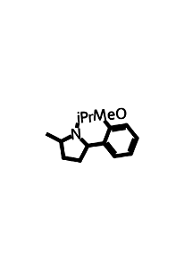 COc1ccccc1C1CCC(C)N1C(C)C